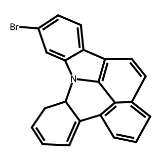 Brc1ccc2c3ccc4cccc5c4c3n(c2c1)C1CC=CC=C51